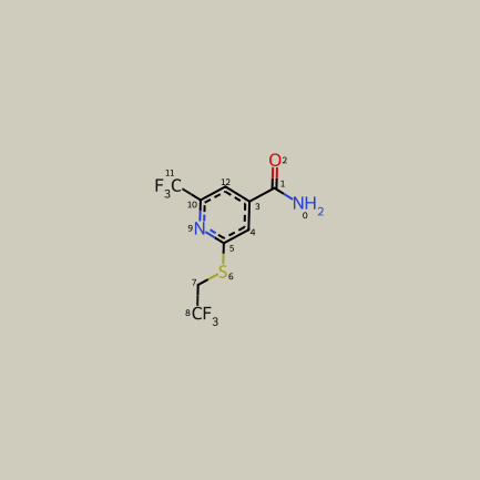 NC(=O)c1cc(SCC(F)(F)F)nc(C(F)(F)F)c1